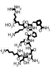 N=C(N)NCC/C=C(\CCC(=O)[C@H](CCCCN)NC(=O)[C@H](Cc1cccc(C(N)=O)c1)NC(=O)[C@@H]1CCCN1C(=O)[C@@H](CCCN)NC(=O)CNC(=O)[C@H](CCN)NC(=O)[C@@H](NC(=O)[C@@H](N)CCCCN)[C@@H](O)CN)C(=O)O